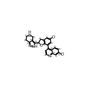 Clc1cc2c(c(-c3ccnc4cc(Cl)ccc34)c1)OC(c1[nH]nc3c1CNCC3)C2